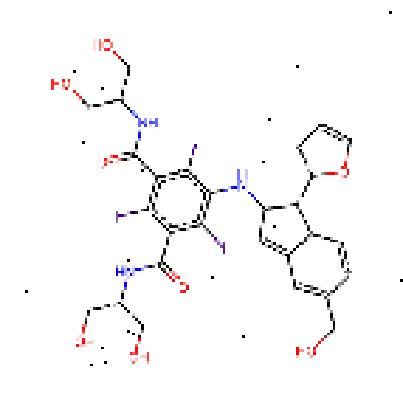 O=C(NC(CO)CO)c1c(I)c(NC2C=C3C=C(CO)C=CC3C2C2CC=CO2)c(I)c(C(=O)NC(CO)CO)c1I